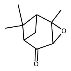 CC1(C)C2CC1C1(C)OC1C2=O